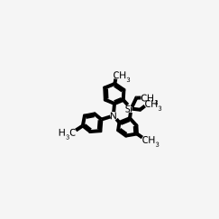 CC[Si]1(CC)c2cc(C)ccc2N(c2ccc(C)cc2)c2ccc(C)cc21